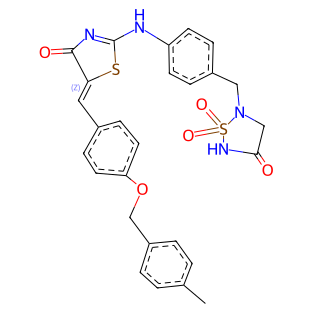 Cc1ccc(COc2ccc(/C=C3\SC(Nc4ccc(CN5CC(=O)NS5(=O)=O)cc4)=NC3=O)cc2)cc1